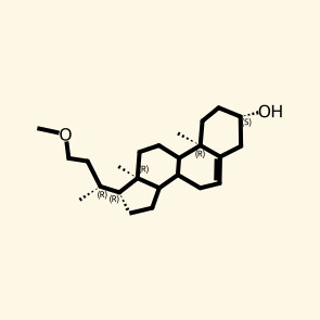 COCC[C@@H](C)[C@H]1CCC2C3CC=C4C[C@@H](O)CC[C@]4(C)C3CC[C@@]21C